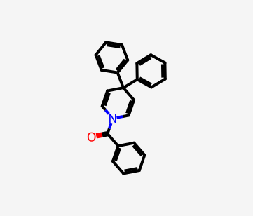 O=C(c1ccccc1)N1C=CC(c2ccccc2)(c2ccccc2)C=C1